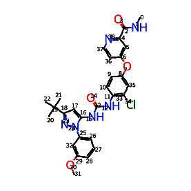 CNC(=O)c1cc(Oc2ccc(NC(=O)Nc3cc(C(C)(C)C)nn3-c3cccc(OC)c3)c(Cl)c2)ccn1